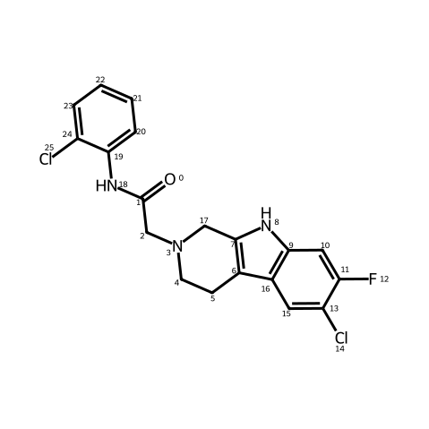 O=C(CN1CCc2c([nH]c3cc(F)c(Cl)cc23)C1)Nc1ccccc1Cl